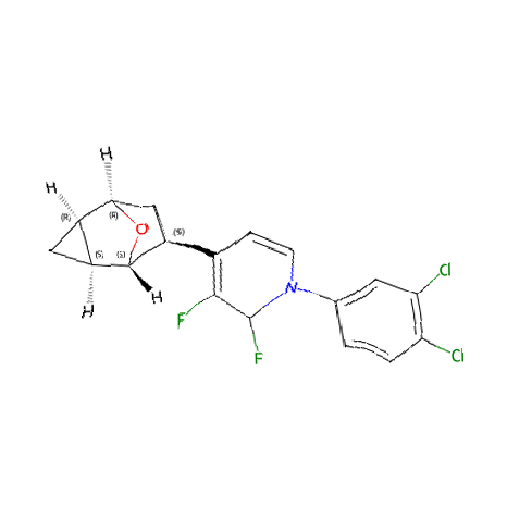 FC1=C([C@@H]2C[C@H]3O[C@H]2[C@H]2C[C@H]23)C=CN(c2ccc(Cl)c(Cl)c2)C1F